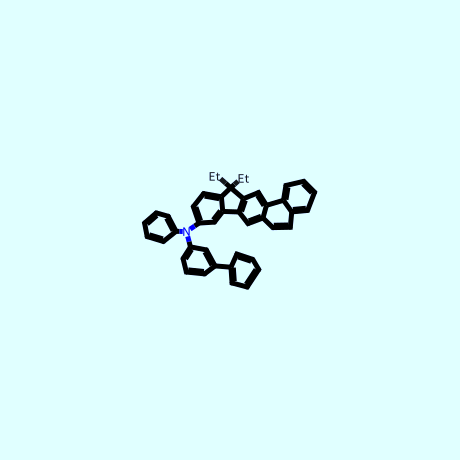 CCC1(CC)c2ccc(N(c3ccccc3)c3cccc(-c4ccccc4)c3)cc2-c2cc3ccc4ccccc4c3cc21